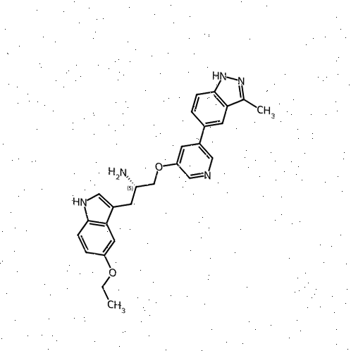 CCOc1ccc2[nH]cc(C[C@H](N)COc3cncc(-c4ccc5[nH]nc(C)c5c4)c3)c2c1